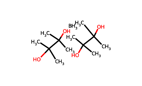 B.CC(C)(O)C(C)(C)O.CC(C)(O)C(C)(C)O